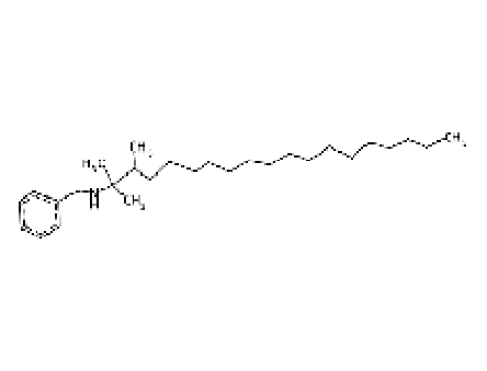 CCCCCCCCCCCCCCCCC(C)C(C)(C)NCc1ccccc1